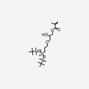 C=C(C)C(=O)OCC(O)COCCC[Si](C)(O[Si](C)(C)C(C)(C)C)O[Si](C)(C)C(C)(C)C